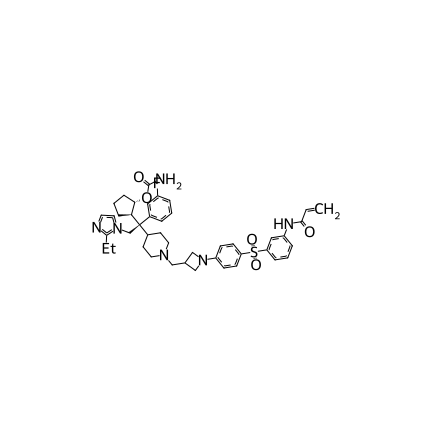 C=CC(=O)Nc1cccc(S(=O)(=O)c2ccc(N3CC(CN4CCC([C@@](Cn5ccnc5CC)(c5cccc(F)c5)[C@H]5CCC[C@@H]5OC(N)=O)CC4)C3)cc2)c1